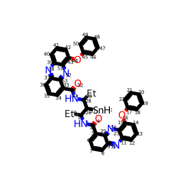 CCC(NC(=O)c1cccc2nc3cccc(Oc4ccccc4)c3nc12)[CH]([SnH])C(CC)NC(=O)c1cccc2nc3cccc(Oc4ccccc4)c3nc12